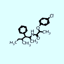 CCC(C)C(c1ccccc1)C(C)NC(=O)C(C)Oc1ccc(Cl)cc1